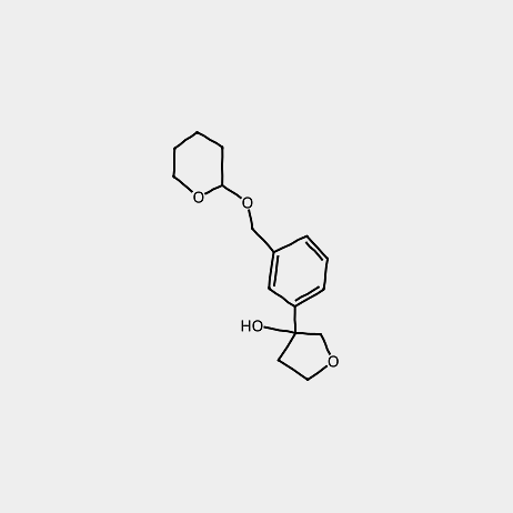 OC1(c2cccc(COC3CCCCO3)c2)CCOC1